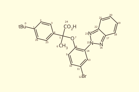 CC(C)(C)c1ccc(C(C)(Oc2ccc(Br)cc2-n2nc3ccccc3n2)C(=O)O)cc1